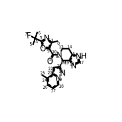 Cc1nc(C(C)(C)F)oc1C(=O)N1CCc2[nH]cnc2[C@H]1c1cc2c(C)cccn2n1